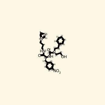 O=C(NCCCn1ccnc1)[C@H](Cc1ccc([N+](=O)[O-])cc1)NC(=O)N(CCO)CCc1ccccc1